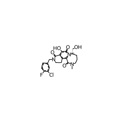 CN1CCC[C@@H](CO)n2c(c3c(c(O)c2=O)C(=O)N(Cc2ccc(F)c(Cl)c2)CC3)C1=O